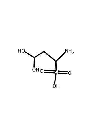 NC(CC(O)O)S(=O)(=O)O